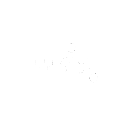 N[C@H](Cc1cccnc1)C(=O)N1CCC2(CC1)C(=O)N(CC(=O)NC1CCCCC1)CN2c1ccccc1